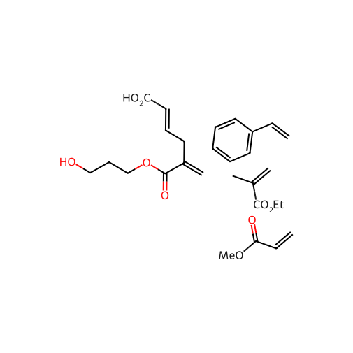 C=C(C)C(=O)OCC.C=C(CC=CC(=O)O)C(=O)OCCCO.C=CC(=O)OC.C=Cc1ccccc1